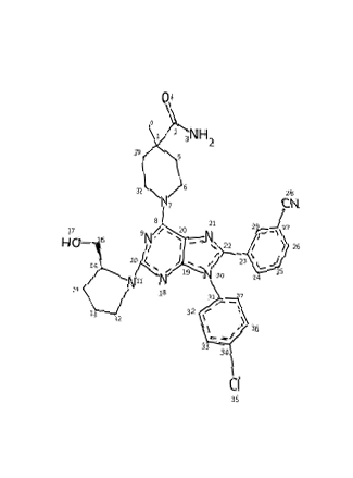 CC1(C(N)=O)CCN(c2nc(N3CCC[C@H]3CO)nc3c2nc(-c2cccc(C#N)c2)n3-c2ccc(Cl)cc2)CC1